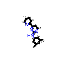 Cc1cc(C)cc(Nc2nccc(-c3ccccn3)n2)c1